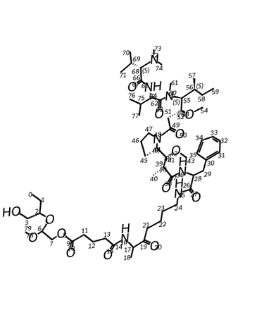 CCC(CO)OC(COC(=O)CCCC(=O)NC(C)C(=O)CCCCNC(=O)C(Cc1ccccc1)NC(=O)[C@H](C)[C@@H](OC)[C@@H]1CCCN1C(=O)C[C@@H](OC)[C@H]([C@@H](C)CC)N(C)C(=O)[C@@H](NC(=O)[C@H](C(C)C)N(C)C)C(C)C)OC